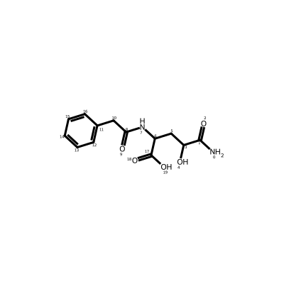 NC(=O)C(O)CC(NC(=O)Cc1ccccc1)C(=O)O